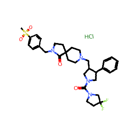 CS(=O)(=O)c1ccc(CN2CCC3(CCN(CC4CN(C(=O)N5CCC(F)(F)C5)CC4c4ccccc4)CC3)C2=O)cc1.Cl